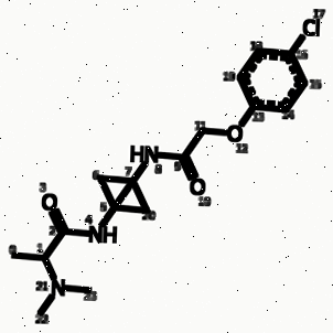 CC(C(=O)NC12CC1(NC(=O)COc1ccc(Cl)cc1)C2)N(C)C